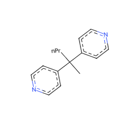 CCCC(C)(c1ccncc1)c1ccncc1